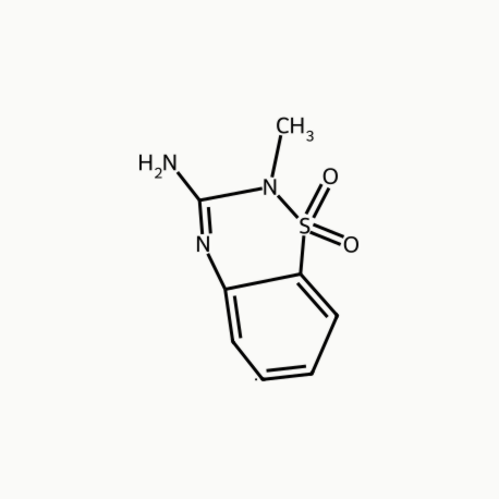 CN1C(N)=Nc2c[c]ccc2S1(=O)=O